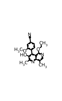 CCOc1ncc(C)c2nc(C)c(O)c(-c3ccc(C#N)cc3OC)c12